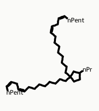 CCCCC/C=C\C/C=C\CCCCCCCCC1(CCCCCCCC/C=C\C/C=C\CCCCC)CCC(CCC)C1